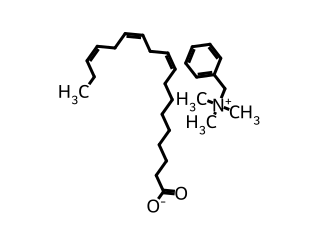 CC/C=C\C/C=C\C/C=C\CCCCCCCC(=O)[O-].C[N+](C)(C)Cc1ccccc1